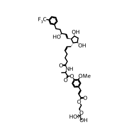 COc1cc(/C=C/C(=O)OCCON(O)O)ccc1OC(=O)C(C)NC(=O)CCC/C=C\C[C@@H]1[C@@H](/C=C/[C@@H](O)CCc2cccc(C(F)(F)F)c2)[C@H](O)C[C@@H]1O